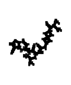 CC(C)C[C@H](NC(=O)OC1CC2(C1)CN(C(=O)C(C)C)C2)C(=O)N[C@H](C=O)C[C@H]1CCNC1=O